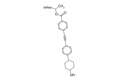 CCCCCCC(C)OC(=O)c1ccc(C#Cc2ccc(C3CCC(CCC)CC3)cc2)cc1